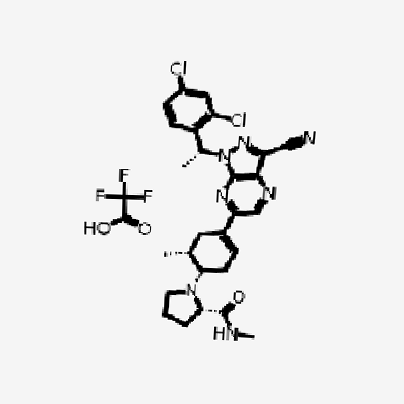 CNC(=O)[C@@H]1CCCN1[C@H]1CC=C(c2cnc3c(C#N)nn([C@H](C)c4ccc(Cl)cc4Cl)c3n2)C[C@H]1C.O=C(O)C(F)(F)F